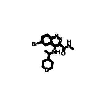 CNC(=O)c1nnc2ccc(Br)cc2c1NC(C)C1CCOCC1